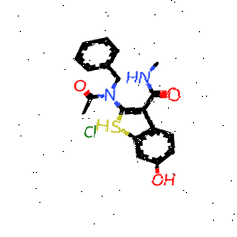 CNC(=O)C1=C(N(Cc2ccccc2)C(C)=O)[SH](Cl)c2cc(O)ccc21